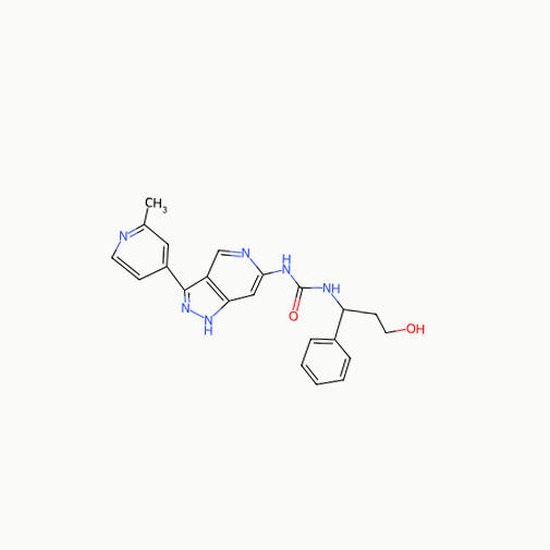 Cc1cc(-c2n[nH]c3cc(NC(=O)NC(CCO)c4ccccc4)ncc23)ccn1